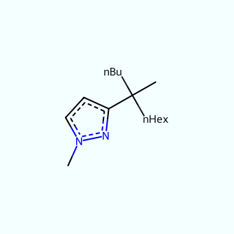 CCCCCCC(C)(CCCC)c1ccn(C)n1